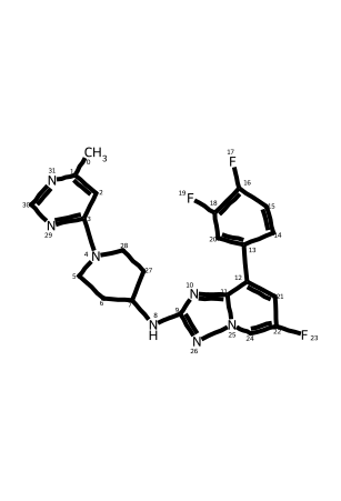 Cc1cc(N2CCC(Nc3nc4c(-c5ccc(F)c(F)c5)cc(F)cn4n3)CC2)ncn1